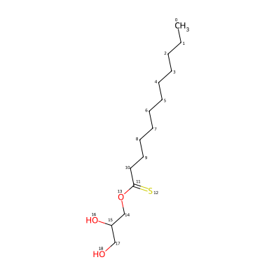 CCCCCCCCCCCC(=S)OCC(O)CO